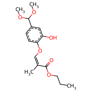 CCCOC(=O)C(C)=COc1ccc(C(OC)OC)cc1O